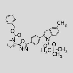 Cc1ccc2c(c1)cc(-c1ccc(-c3nnc([C@H]4CCCN4C(=O)OCc4ccccc4)o3)cc1)n2C(=O)OC(C)(C)C